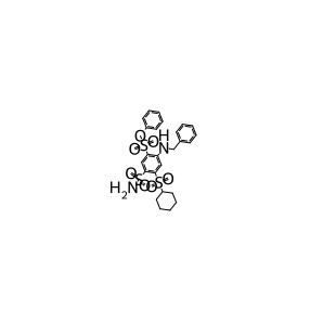 NS(=O)(=O)c1cc(S(=O)(=O)Oc2ccccc2)c(NCc2ccccc2)cc1S(=O)(=O)C1CCCCC1